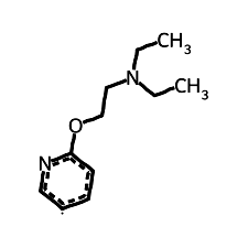 CCN(CC)CCOc1cc[c]cn1